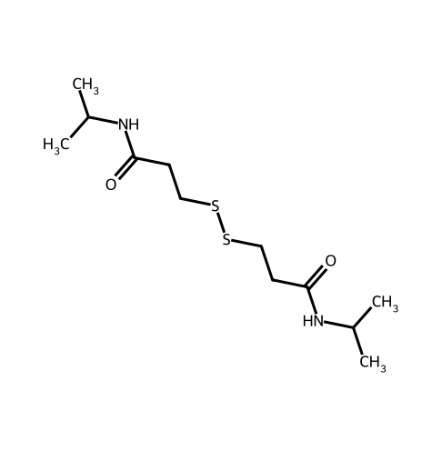 CC(C)NC(=O)CCSSCCC(=O)NC(C)C